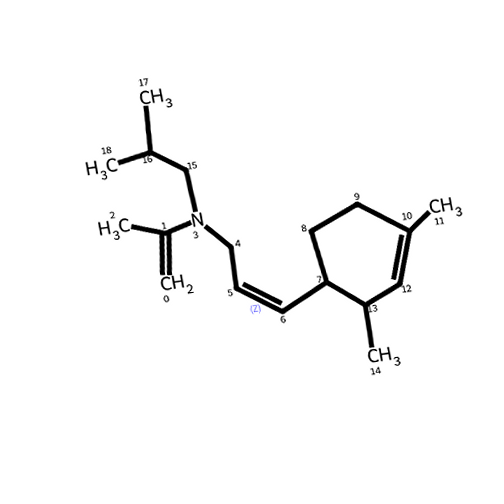 C=C(C)N(C/C=C\C1CCC(C)=CC1C)CC(C)C